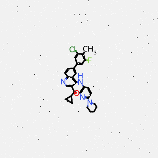 Cc1c(F)cc(-c2ccc3ncc(C(=O)C4CC4)c(Nc4ccc(N5CCCCC5)nc4)c3c2)cc1Cl